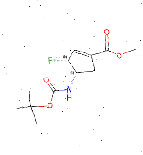 COC(=O)C1=C[C@@H](F)[C@@H](NC(=O)OC(C)(C)C)C1